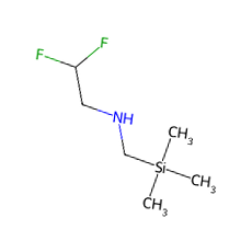 C[Si](C)(C)CNCC(F)F